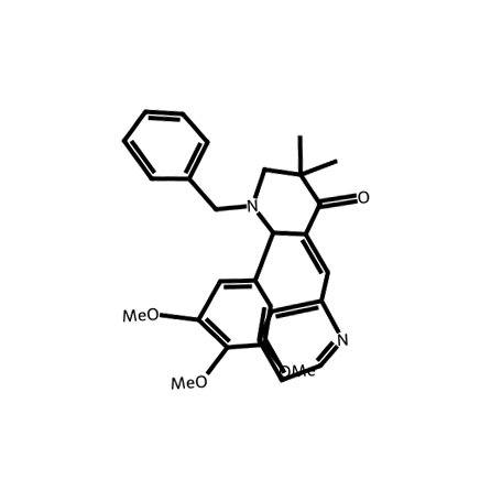 COc1cc(C2/C(=C\c3ccccn3)C(=O)C(C)(C)CN2Cc2ccccc2)cc(OC)c1OC